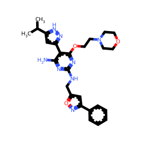 CC(C)c1cc(-c2c(N)nc(NCc3cc(-c4ccccc4)no3)nc2OCCN2CCOCC2)n[nH]1